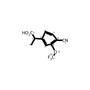 CC(C(=O)O)c1ccc(C#N)c(OC(F)(F)F)c1